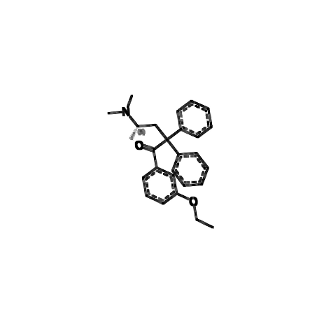 CCOc1cccc(C(=O)C(C[C@H](C)N(C)C)(c2ccccc2)c2ccccc2)c1